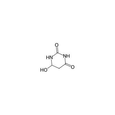 O=C1CC(O)NC(=O)N1